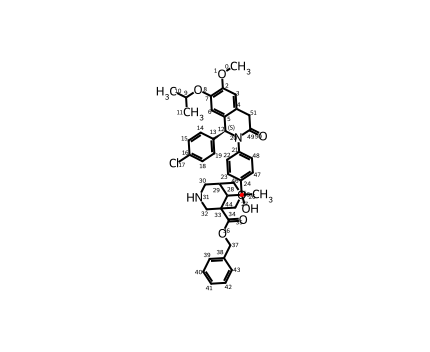 COc1cc2c(cc1OC(C)C)[C@H](c1ccc(Cl)cc1)N(c1ccc(C(C)(O)C3C4CNCC3(C(=O)OCc3ccccc3)COC4)cc1)C(=O)C2